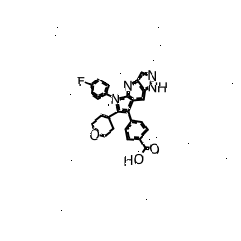 O=C(O)c1ccc(-c2c(C3CCOCC3)n(-c3ccc(F)cc3)c3nc4cn[nH]c4cc23)cc1